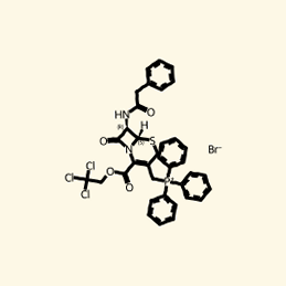 O=C(Cc1ccccc1)N[C@@H]1C(=O)N2C(C(=O)OCC(Cl)(Cl)Cl)=C(C[P+](c3ccccc3)(c3ccccc3)c3ccccc3)CS[C@@H]12.[Br-]